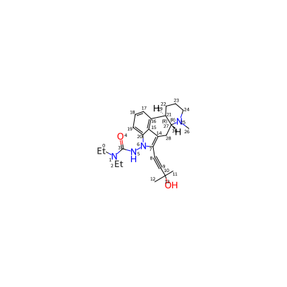 CCN(CC)C(=O)Nn1c(C#CC(C)(C)O)c2c3c(cccc31)[C@H]1CCCN(C)[C@@H]1C2